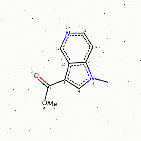 COC(=O)c1cn(C)c2ccncc12